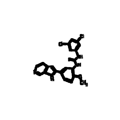 COc1ccc(-c2cc3ccncc3[nH]2)cc1NC(=S)Nc1cc(Cl)cc(Cl)c1